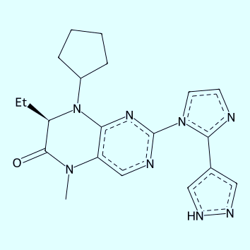 CC[C@@H]1C(=O)N(C)c2cnc(-n3ccnc3-c3cn[nH]c3)nc2N1C1CCCC1